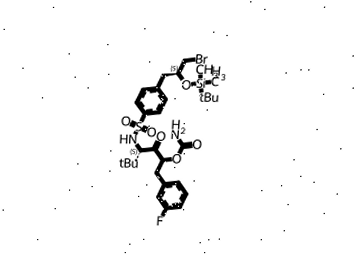 CC(C)(C)[C@H](NS(=O)(=O)c1ccc(C[C@@H](CBr)O[Si](C)(C)C(C)(C)C)cc1)C(=O)C(Cc1cccc(F)c1)OC(N)=O